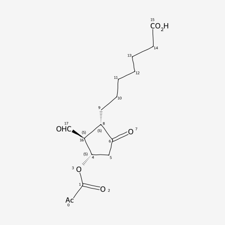 CC(=O)C(=O)O[C@H]1CC(=O)[C@@H](CCCCCCC(=O)O)[C@@H]1C=O